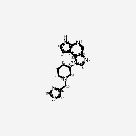 c1cc2c(ncc3ncn([C@@H]4CCCN(Cc5cocn5)C4)c32)[nH]1